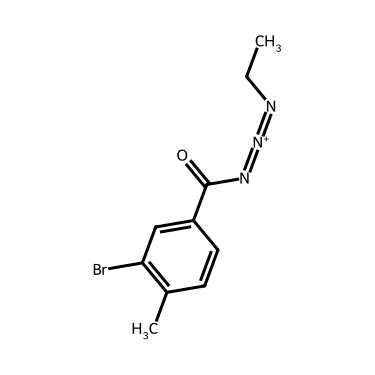 CCN=[N+]=NC(=O)c1ccc(C)c(Br)c1